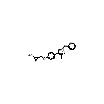 CC(=O)C1CC1COc1ccc(-c2cn(Cc3ccccc3)nc2C)cc1